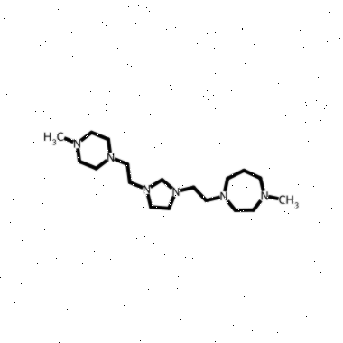 CN1CCCN(CCN2CCN(CCN3CCN(C)CC3)C2)CC1